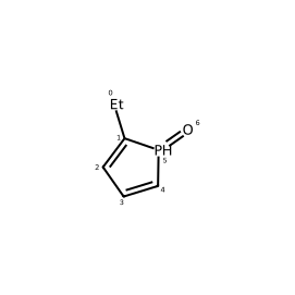 CCC1=CC=C[PH]1=O